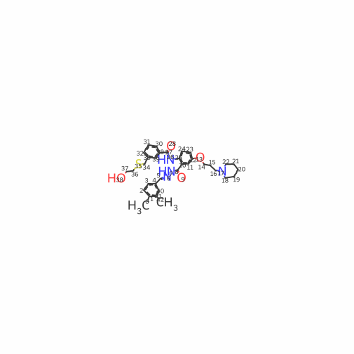 Cc1ccc(C=NNC(=O)c2cc(OCCCN3CCCCC3)ccc2NC(=O)c2cccc(CSCCO)c2)cc1C